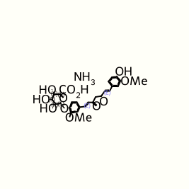 COc1cc(/C=C/C(=O)CC(=O)/C=C/c2ccc(O[C@@H]3O[C@H](C(=O)O)[C@@H](O)[C@H](O)[C@H]3O)c(OC)c2)ccc1O.N